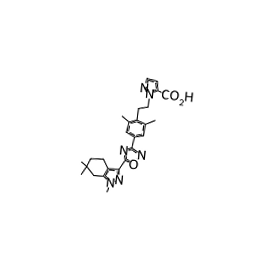 Cc1cc(-c2noc(-c3nn(C)c4c3CCC(C)(C)C4)n2)cc(C)c1CCn1nccc1C(=O)O